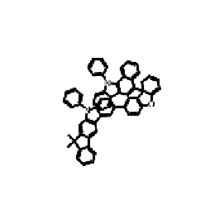 CC1(C)c2ccccc2-c2cc3c4cc(-c5ccc6c(c5)C5(c7cc8c9ccccc9n(-c9ccccc9)c8c8ccccc78)CC=CC=C5O6)ccc4n(-c4ccccc4)c3cc21